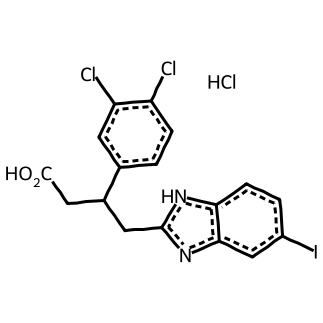 Cl.O=C(O)CC(Cc1nc2cc(I)ccc2[nH]1)c1ccc(Cl)c(Cl)c1